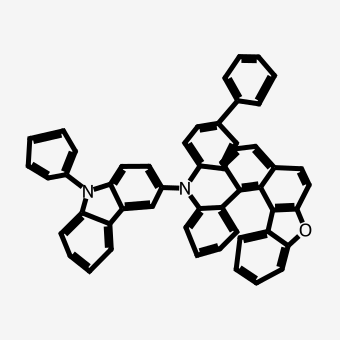 c1ccc(-c2ccc(N(c3ccc4c(c3)c3ccccc3n4-c3ccccc3)c3ccccc3-c3cccc4ccc5oc6ccccc6c5c34)cc2)cc1